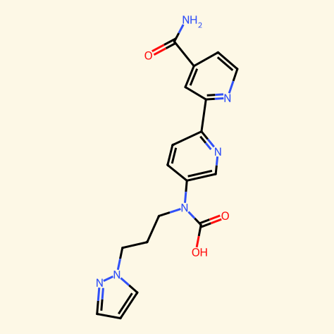 NC(=O)c1ccnc(-c2ccc(N(CCCn3cccn3)C(=O)O)cn2)c1